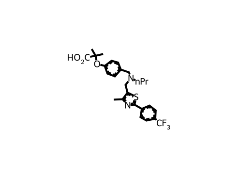 CCCN(Cc1ccc(OC(C)(C)C(=O)O)cc1)Cc1sc(-c2ccc(C(F)(F)F)cc2)nc1C